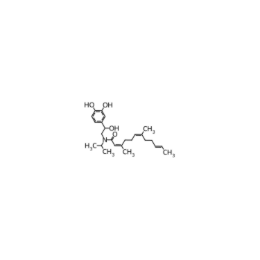 CC=CCCC(C)=CCCC(C)=CC(=O)N(CC(O)c1ccc(O)c(O)c1)C(C)C